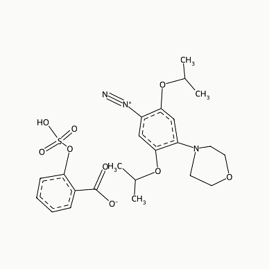 CC(C)Oc1cc(N2CCOCC2)c(OC(C)C)cc1[N+]#N.O=C([O-])c1ccccc1OS(=O)(=O)O